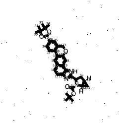 CC(C)(C)OC(=O)N1C(c2nc3ccc4cc5c(cc4c3[nH]2)OCc2cc(B3OC(C)(C)C(C)(C)O3)ccc2-5)C[C@H]2C[C@H]21